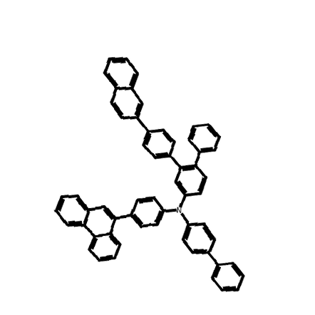 c1ccc(-c2ccc(N(c3ccc(-c4cc5ccccc5c5ccccc45)cc3)c3ccc(-c4ccccc4)c(-c4ccc(-c5ccc6ccccc6c5)cc4)c3)cc2)cc1